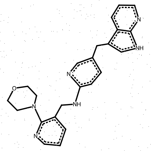 c1cnc(N2CCOCC2)c(CNc2ccc(Cc3c[nH]c4ncccc34)cn2)c1